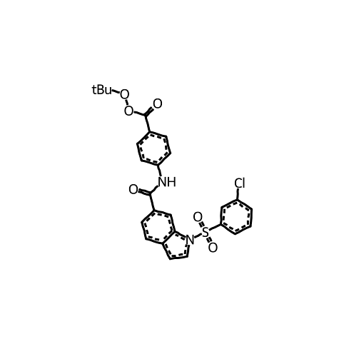 CC(C)(C)OOC(=O)c1ccc(NC(=O)c2ccc3ccn(S(=O)(=O)c4cccc(Cl)c4)c3c2)cc1